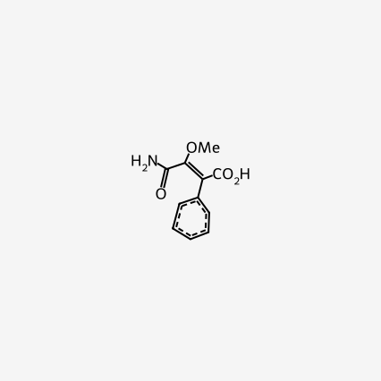 COC(C(N)=O)=C(C(=O)O)c1ccccc1